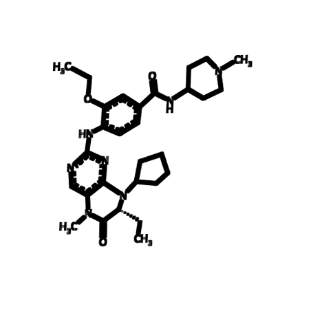 CCOc1cc(C(=O)NC2CCN(C)CC2)ccc1Nc1ncc2c(n1)N(C1CCCC1)[C@H](CC)C(=O)N2C